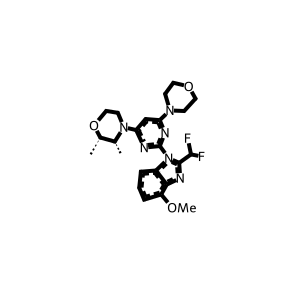 COc1cccc2c1nc(C(F)F)n2-c1nc(N2CCOCC2)cc(N2CCO[C@@H](C)[C@H]2C)n1